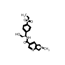 CCS(=O)(=O)c1ccc([C@H](CO)NC(=O)c2cnc3c(c2)CN(C)C3)cc1